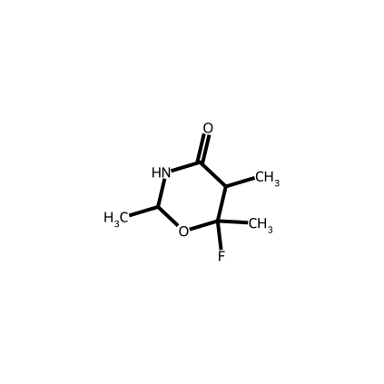 CC1NC(=O)C(C)C(C)(F)O1